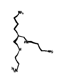 NCCCC(CNCCN)CNCCN